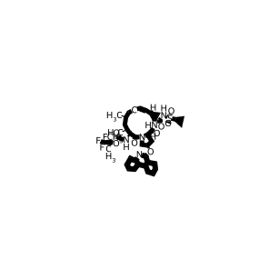 C[C@@H]1CC/C=C\[C@@H]2C[C@@]2(C(=O)NS(=O)(=O)C2CC2)NC(=O)[C@@H]2C[C@@H](Oc3nc4ccccc4c4ccccc34)CN2C(=O)[C@@H](NC(=O)OC(C)(C)C(F)(F)F)[C@H](C)C1